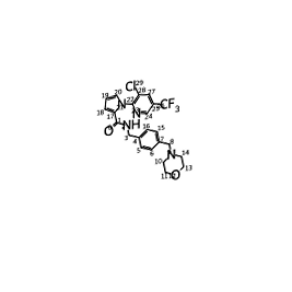 O=C(NCc1ccc(CN2CCOCC2)cc1)c1cccn1-c1ncc(C(F)(F)F)cc1Cl